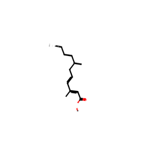 CCC(C)CCCC(C)CC=CC(C)=CC(=O)OC(C)C